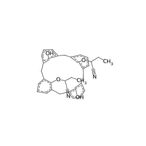 CCC(C#N)Oc1c2cccc1Cc1cccc(c1O)Cc1cccc(c1OC(C#N)CC)Cc1cccc(c1O)C2